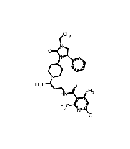 Cc1cc(Cl)nc(C)c1C(=O)NCCC(C)N1CCC(N2C(=O)N(CC(F)(F)F)C[C@H]2c2ccccc2)CC1